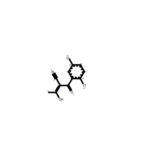 C/C(O)=C(\C#N)C(=O)c1cc(Cl)ccc1Cl